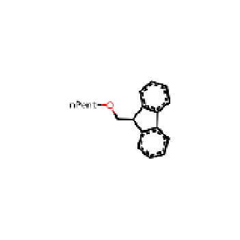 CCCCCOCC1c2ccccc2-c2ccccc21